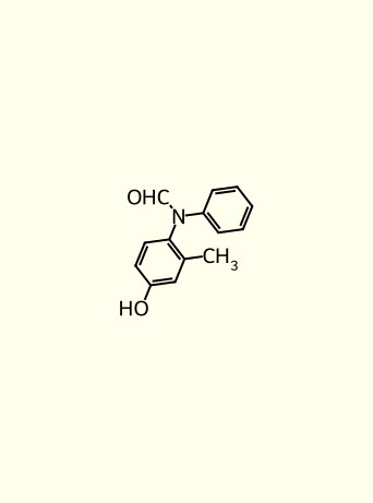 Cc1cc(O)ccc1N(C=O)c1ccccc1